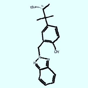 C[C@@H](C(C)(C)C)C(C)(C)c1ccc(O)c(Cn2nc3ccccc3n2)c1